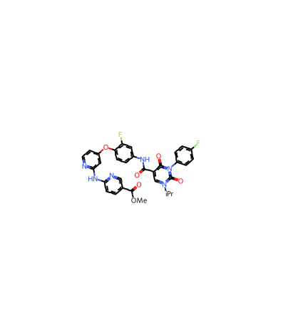 COC(=O)c1ccc(Nc2cc(Oc3ccc(NC(=O)c4cn(C(C)C)c(=O)n(-c5ccc(F)cc5)c4=O)cc3F)ccn2)nc1